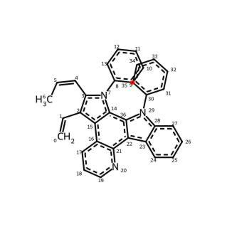 C=Cc1c(/C=C\C)n(-c2ccccc2)c2c1c1cccnc1c1c3ccccc3n(-c3ccccc3)c12